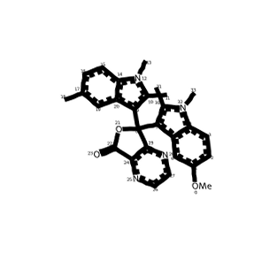 COc1ccc2c(c1)c(C1(c3c(C)n(C)c4ccc(C)cc34)OC(=O)c3nccnc31)c(C)n2C